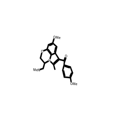 CNCC1COc2cc(OC)cc3c(C(=O)c4ccc(OC)cc4)c(C)n1c23